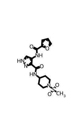 CS(=O)(=O)N1CCC(NC(=O)c2n[nH]cc2NC(=O)c2ccco2)CC1